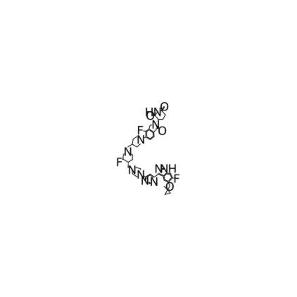 CC1(Oc2cc3c(-c4cc(N5CCN(C[C@@H]6CCN(CC7CCN(c8ccc9c(c8F)CN(C8CCC(=O)NC8=O)C9=O)CC7)C[C@@H]6F)CC5)ncn4)n[nH]c3cc2F)CC1